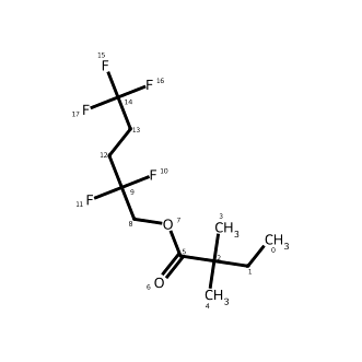 CCC(C)(C)C(=O)OCC(F)(F)CCC(F)(F)F